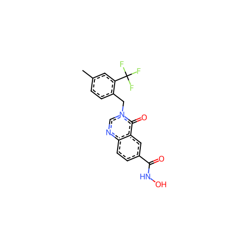 Cc1ccc(Cn2cnc3ccc(C(=O)NO)cc3c2=O)c(C(F)(F)F)c1